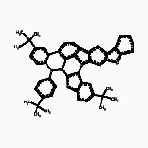 CC(C)(C)c1ccc(N2B3c4sc5ccc(C(C)(C)C)cc5c4-n4c5cc6oc7ccccc7c6cc5c5ccc(c3c54)-c3cc(C(C)(C)C)ccc32)cc1